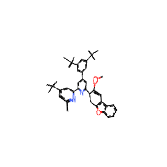 COC1=Cc2c(oc3ccccc23)CC1c1cc(-c2cc(C(C)(C)C)cc(C(C)(C)C)c2)cc(-c2cc(C(C)(C)C)cc(C)n2)n1